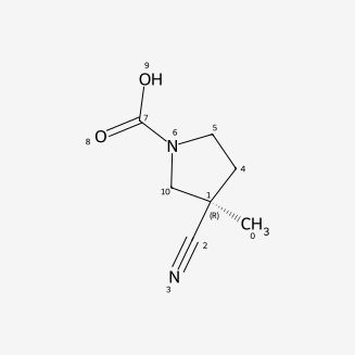 C[C@@]1(C#N)CCN(C(=O)O)C1